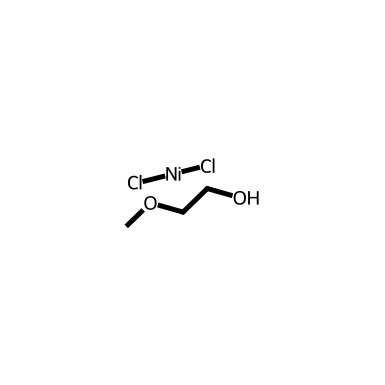 COCCO.[Cl][Ni][Cl]